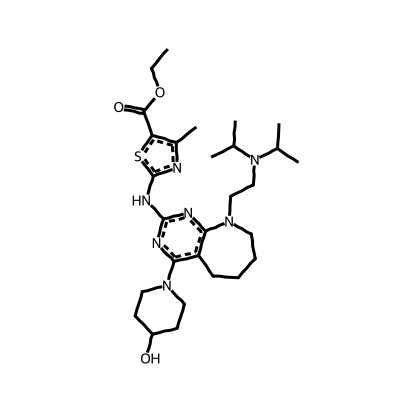 CCOC(=O)c1sc(Nc2nc(N3CCC(O)CC3)c3c(n2)N(CCN(C(C)C)C(C)C)CCCC3)nc1C